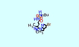 CCCCNS(=O)(=O)NC(=O)C=Cc1c(C)nn(C)c1-n1ccc2cc(Br)cnc21